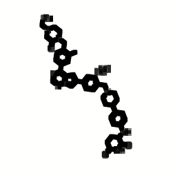 Cc1cc(-c2ncnn3cc(-c4ccc(CN5CCC(c6ccc(NC7CCC(=O)NC7=O)cc6)CC5)cc4)cc23)ccc1CN1CCN(CC(C)(C)C)CC1=O.Cl.Cl